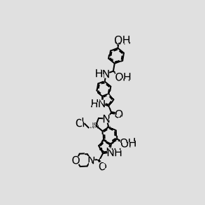 O=C(c1cc2c3c(cc(O)c2[nH]1)N(C(=O)c1cc2cc(NC(O)c4ccc(O)cc4)ccc2[nH]1)C[C@H]3CCl)N1CCOCC1